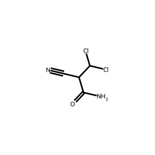 N#CC(C(N)=O)C(Cl)Cl